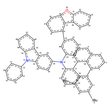 CC(C)(C)c1cc(-c2cccc3cccc(-c4ccccc4N(c4cccc(-c5cccc6oc7ccccc7c56)c4)c4ccc5c(c4)c4ccccc4n5-c4ccccc4)c23)cc(C(C)(C)C)c1